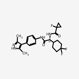 Cc1n[nH]c(C)c1-c1ccc(NC(=O)[C@@H](NC(=O)C2(F)CC2)C2CCC(F)(F)CC2)cc1